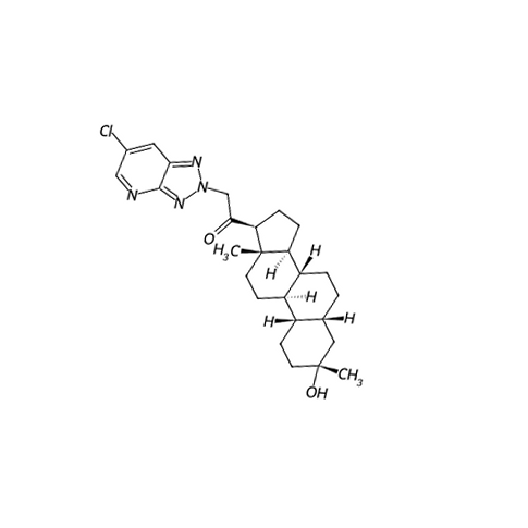 C[C@@]1(O)CC[C@H]2[C@H](CC[C@@H]3[C@@H]2CC[C@]2(C)[C@@H](C(=O)Cn4nc5cc(Cl)cnc5n4)CC[C@@H]32)C1